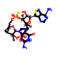 Nc1nc2c(ncn2[C@@H]2O[C@]34CO[P@@](=O)(S)O[C@H]5[C@@H](O)[C@H](c6snc7c(N)ncnc67)O[C@@H]5COP(=O)(O)O[C@@H]2C3C4)c(=O)[nH]1